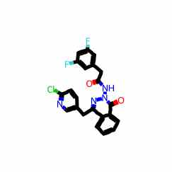 O=C(Cc1cc(F)cc(F)c1)Nn1nc(Cc2ccc(Cl)nc2)c2ccccc2c1=O